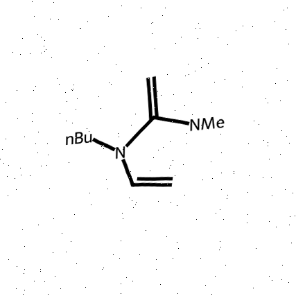 C=CN(CCCC)C(=C)NC